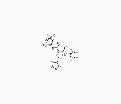 CS(=O)(=O)c1ccc(C(=CCC2CCCC2)C(=O)Nc2nccs2)cc1C(F)(F)F